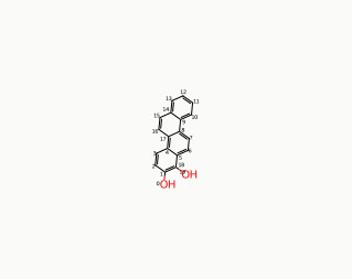 Oc1ccc2c(ccc3c4ccccc4ccc23)c1O